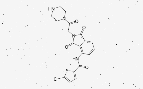 O=C(Nc1cccc2c1C(=O)N(CC(=O)N1CCNCC1)C2=O)c1ccc(Cl)s1